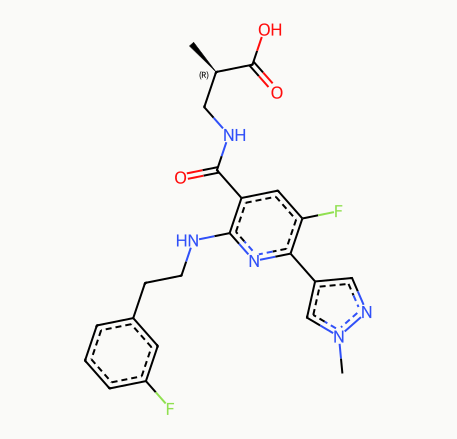 C[C@H](CNC(=O)c1cc(F)c(-c2cnn(C)c2)nc1NCCc1cccc(F)c1)C(=O)O